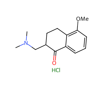 COc1cccc2c1CCC(CN(C)C)C2=O.Cl